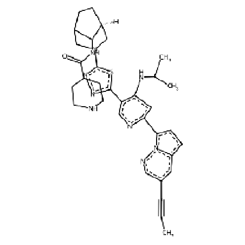 CC#Cc1cnn2c(-c3cc(NC(C)C)c(-c4nnc(N5CC6CC[C@@H](C5)C6NC(=O)C5CCNCC5)s4)cn3)ccc2c1